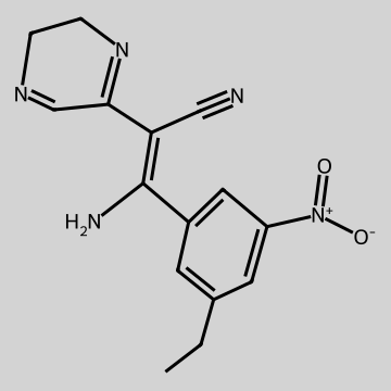 CCc1cc(/C(N)=C(\C#N)C2=NCCN=C2)cc([N+](=O)[O-])c1